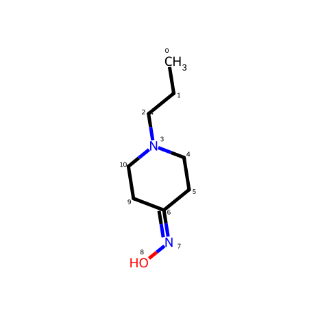 CC[CH]N1CCC(=NO)CC1